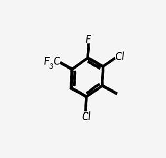 Cc1c(Cl)cc(C(F)(F)F)c(F)c1Cl